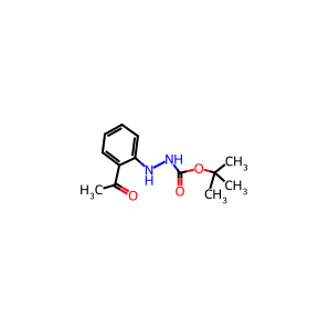 CC(=O)c1ccccc1NNC(=O)OC(C)(C)C